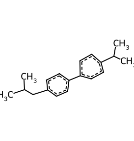 CC(C)Cc1ccc(-c2ccc(C(C)C)cc2)cc1